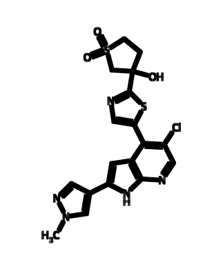 Cn1cc(-c2cc3c(-c4cnc(C5(O)CCS(=O)(=O)C5)s4)c(Cl)cnc3[nH]2)cn1